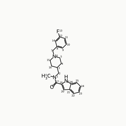 CN(CC1CCN(Cc2cccc(F)c2)CC1)C(=O)c1cc2ccccc2[nH]1